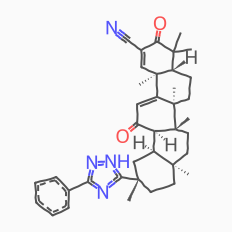 CC1(C)C(=O)C(C#N)=C[C@]2(C)C3=CC(=O)[C@@H]4[C@@H]5C[C@@](C)(c6nc(-c7ccccc7)n[nH]6)CC[C@]5(C)CC[C@@]4(C)[C@]3(C)CC[C@@H]12